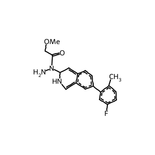 COCC(=O)N(N)C1C=c2ccc(-c3cc(F)ccc3C)cc2=CN1